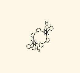 Cc1ccccc1-c1nc2nc(n1)c1cccc(c1)c1cccc(c1)c1nc(-c3ccccc3C)nc(n1)c1cccc(c1)c1cccc2c1